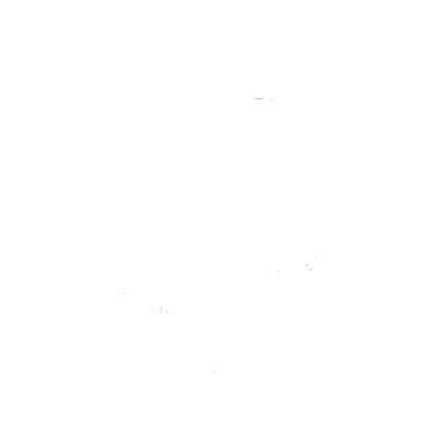 COC(=O)c1ccc(OCC2CC(F)(F)CN2C(=O)Cc2ccc(NC(=O)Nc3ccccc3C)c(OC)c2)cc1